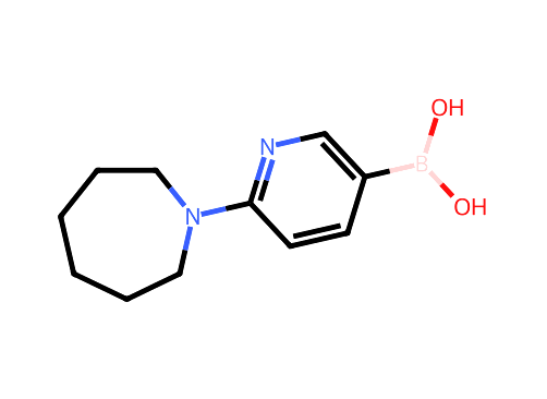 OB(O)c1ccc(N2CCCCCC2)nc1